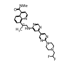 CNC(=O)c1ccnc2c([C@H](C)CNc3cc(-c4cnc(N5CCN(CC(F)F)CC5)nc4)ncn3)cccc12